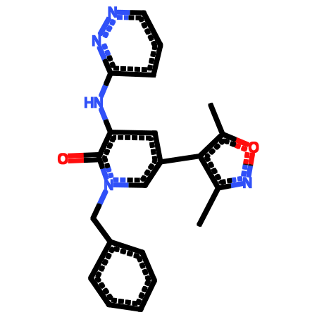 Cc1noc(C)c1-c1cc(Nc2cccnn2)c(=O)n(Cc2ccccc2)c1